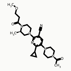 COCCC(=O)N1CCN(c2nc(C3CC3)c(N3CCN(C(C)=O)CC3)cc2C#N)C[C@H]1C